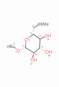 CCCCO[C@@H]1O[C@H](CNC)[C@@H](O)[C@H](O)[C@H]1O